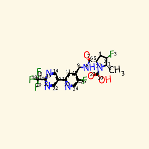 C[C@H]1[C@H](F)C[C@@H](C(=O)NCc2cc(-c3cnc(C(F)(F)F)nc3)ncc2F)N1C(=O)O